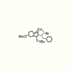 COc1ccc2c(c1)c(SC(C)(C)C)c(C(CBr)Cc1ccccc1)n2C